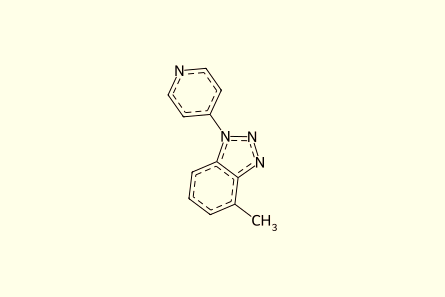 Cc1cccc2c1nnn2-c1ccncc1